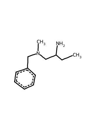 CCC(N)CN(C)Cc1ccccc1